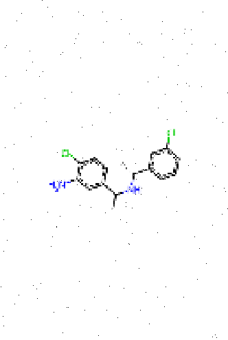 CC(N[C@H](C)c1cccc(Cl)c1)c1ccc(Cl)c(N)c1